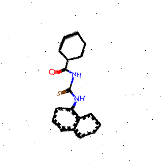 O=C(NC(=S)Nc1cccc2ccccc12)C1CCCCC1